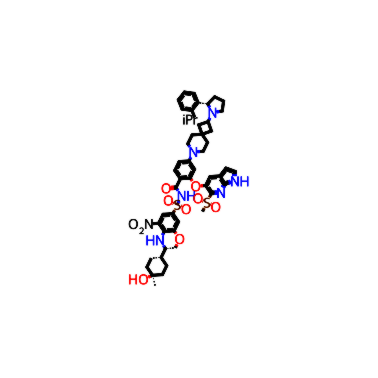 CC(C)c1ccccc1[C@@H]1CCCN1C1CC2(CCN(c3ccc(C(=O)NS(=O)(=O)c4cc5c(c([N+](=O)[O-])c4)N[C@@H]([C@H]4CC[C@](C)(O)CC4)CO5)c(Oc4cc5cc[nH]c5nc4S(C)(=O)=O)c3)CC2)C1